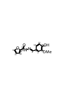 COc1cc(/C=N/NC(=O)c2ccco2)ccc1O